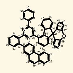 c1ccc(-c2nc(-c3ccccc3-c3ccc4c(ccc5ccccc54)c3)nc(-c3cccc4c3-c3ccccc3C43c4ccccc4Oc4ccccc43)n2)cc1